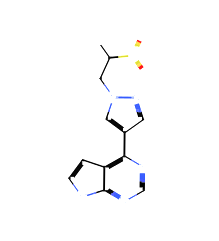 CC(Cn1cc(-c2ncnc3[nH]ccc23)cn1)[SH](=O)=O